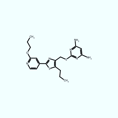 CCCOc1cc(-c2nc(CSc3nc(N)cc(N)n3)c(CCC)s2)ccn1